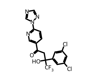 O=C(CC(O)(c1cc(Cl)cc(Cl)c1)C(F)(F)F)c1ccc(-n2cncn2)nc1